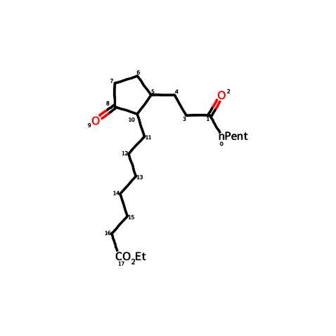 CCCCCC(=O)CCC1CCC(=O)C1CCCCCCC(=O)OCC